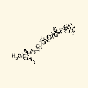 CC(C)CCC(=O)OCCOCCOCCOCCOC(=O)CCC(C)C